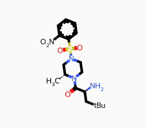 C[C@@H]1CN(S(=O)(=O)c2ccccc2[N+](=O)[O-])CCN1C(=O)[C@@H](N)CC(C)(C)C